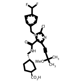 COC(C)(C)C#Cc1nc(Cl)n(Cc2ccc(C(F)F)cc2)c1C(=O)NC[C@H]1CC[C@H](C(=O)O)CC1